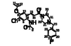 CC(=O)Nc1cc(Cl)c(OC(C)C)cc1C=CC(=O)N1CCN(Cc2ccc(F)cc2)CC1C